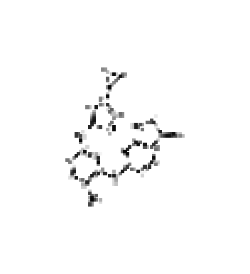 O=C1[N]Nc2cc(Nc3nc(Nc4cc(C5CC5)n[nH]4)ccc3[N+](=O)[O-])ccc21